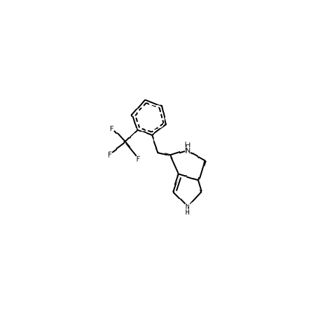 FC(F)(F)c1ccccc1CC1NCC2CNC=C21